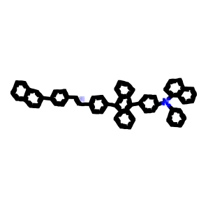 C(=C\c1ccc(-c2c3ccccc3c(-c3ccc(N(c4ccccc4)c4cccc5ccccc45)cc3)c3ccccc23)cc1)/c1ccc(-c2ccc3ccccc3c2)cc1